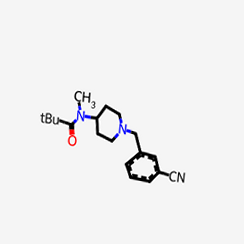 CN(C(=O)C(C)(C)C)C1CCN(Cc2cccc(C#N)c2)CC1